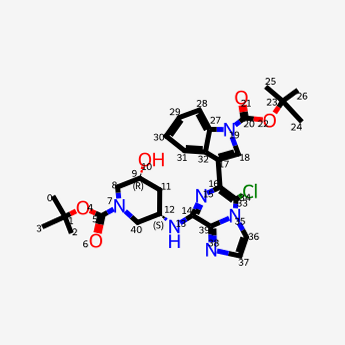 CC(C)(C)OC(=O)N1C[C@H](O)C[C@H](Nc2nc(-c3cn(C(=O)OC(C)(C)C)c4ccccc34)c(Cl)n3ccnc23)C1